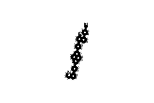 N#Cc1ccc2c(c1)Oc1ccc(-c3ccc(-c4cc5ccc6cc(-c7ccc(-c8cccc9cccnc89)cc7)cc7ccc(c4)c5c67)cc3)c3cccc-2c13